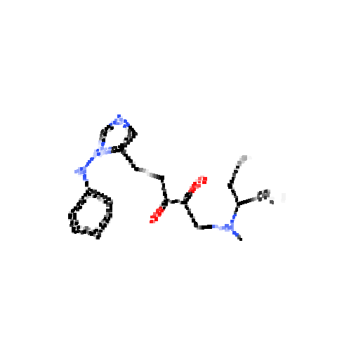 CC(C)CC(C(=O)O)N(C)CC(=O)C(=O)CCc1cncn1Nc1ccccc1